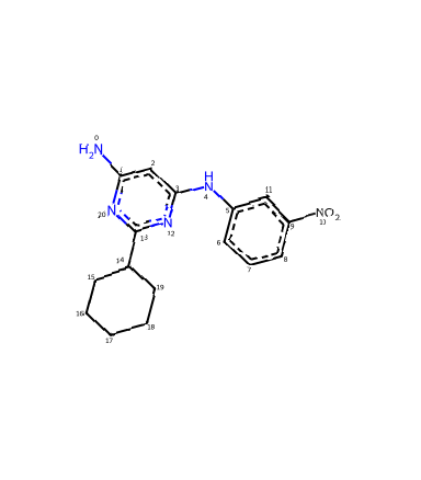 Nc1cc(Nc2cccc([N+](=O)[O-])c2)nc(C2CCCCC2)n1